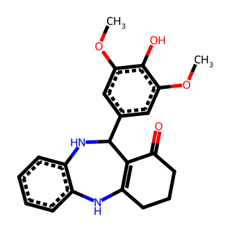 COc1cc(C2Nc3ccccc3NC3=C2C(=O)CCC3)cc(OC)c1O